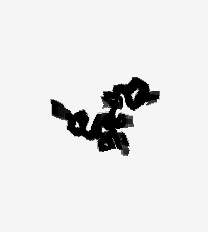 Cn1c(Cc2ccc(Br)cc2)nc(-c2ncc(Cc3ccc(F)cc3)o2)c(O)c1=O